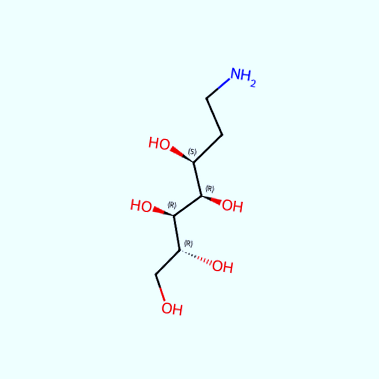 NCC[C@H](O)[C@@H](O)[C@H](O)[C@H](O)CO